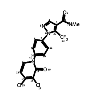 CNC(=O)c1cnn(-c2ccc(-n3ccc(Cl)c(Cl)c3=O)cc2)c1C(F)(F)F